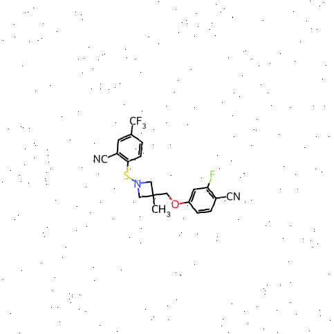 CC1(COc2ccc(C#N)c(F)c2)CN(Sc2ccc(C(F)(F)F)cc2C#N)C1